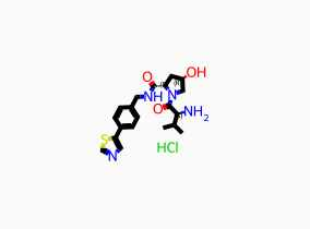 CC(C)[C@H](N)C(=O)N1C[C@H](O)C[C@H]1C(=O)NCc1ccc(-c2cncs2)cc1.Cl